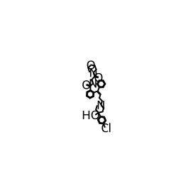 O=C(CN1C(=O)c2ccccc2C(=CCCN2CCC(O)(c3ccc(Cl)cc3)CC2)c2ccccc21)N1CCOCC1